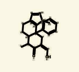 CC1C(=O)C(=CO)CC2(c3ccccc3)c3c(cnn3C)CCC12